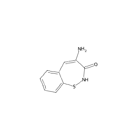 NC1=Cc2ccccc2SNC1=O